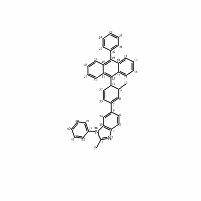 Cc1nc2ccc(C3=CC(C)C(c4c5ccccc5c(-c5ccccc5)c5ccccc45)C=C3)cc2n1-c1ccccc1